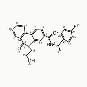 C[C@@H](NC(=O)c1ccc2c3ccncc3c(=O)n(CCO)c2c1)c1ccc(F)cc1